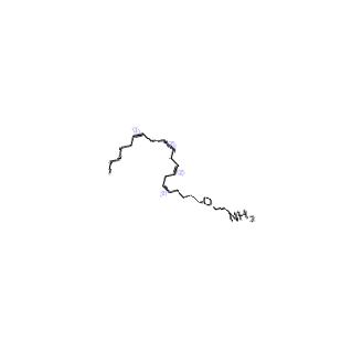 CCCCC/C=C\C/C=C\C/C=C\C/C=C\CCCCOCCN